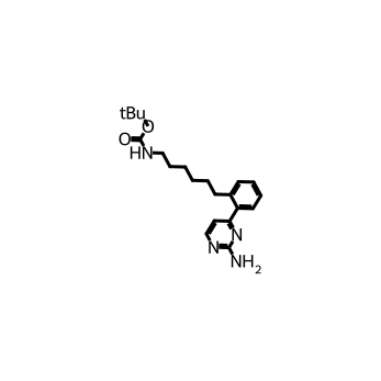 CC(C)(C)OC(=O)NCCCCCCc1ccccc1-c1ccnc(N)n1